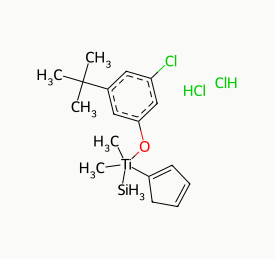 CC(C)(C)c1cc(Cl)cc([O][Ti]([CH3])([CH3])([SiH3])[C]2=CC=CC2)c1.Cl.Cl